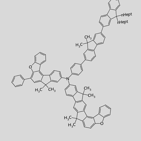 CCCCCCCC1(CCCCCCC)c2ccccc2-c2ccc(-c3ccc4c(c3)C(C)(C)c3cc(-c5ccc(N(c6ccc7c(c6)C(C)(C)c6cc8c(cc6-7)C(C)(C)c6ccc7oc9ccccc9c7c6-8)c6ccc7c(c6)C(C)(C)c6cc(-c8ccccc8)c8oc9ccccc9c8c6-7)cc5)ccc3-4)cc21